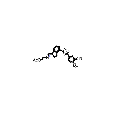 CC(=O)OCC/N=C/C1CCc2c(-c3noc(-c4ccc(OC(C)C)c(C#N)c4)n3)cccc21